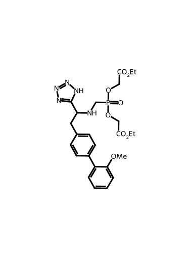 CCOC(=O)COP(=O)(CNC(Cc1ccc(-c2ccccc2OC)cc1)c1nnn[nH]1)OCC(=O)OCC